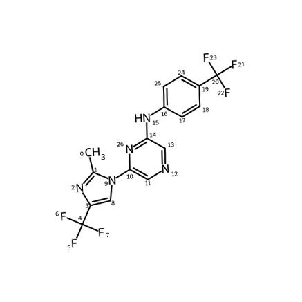 Cc1nc(C(F)(F)F)cn1-c1cncc(Nc2ccc(C(F)(F)F)cc2)n1